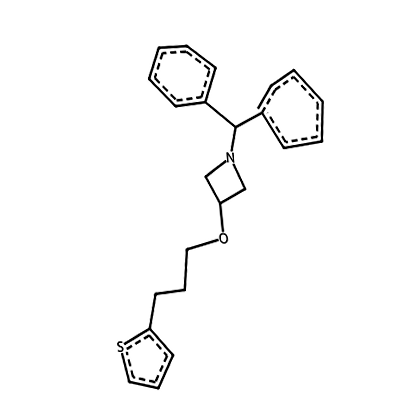 c1ccc(C(c2ccccc2)N2CC(OCCCc3cccs3)C2)cc1